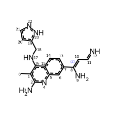 Cc1c(N)nc2cc(/C(N)=C/C=N)ccc2c1NCc1ccn[nH]1